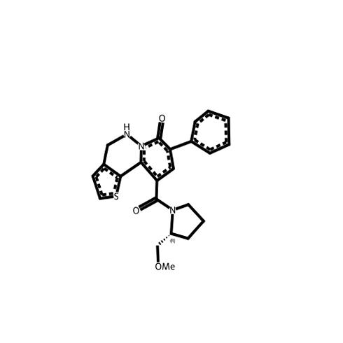 COC[C@H]1CCCN1C(=O)c1cc(-c2ccccc2)c(=O)n2c1-c1sccc1CN2